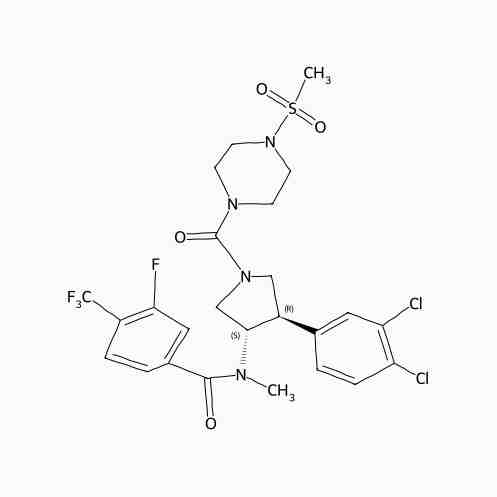 CN(C(=O)c1ccc(C(F)(F)F)c(F)c1)[C@@H]1CN(C(=O)N2CCN(S(C)(=O)=O)CC2)C[C@H]1c1ccc(Cl)c(Cl)c1